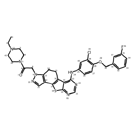 CCN1CCN(C(=O)Cn2ncc3c2CCc2c-3sc3ncnc(Nc4ccc(OCc5cccc(F)c5)c(Cl)c4)c23)CC1